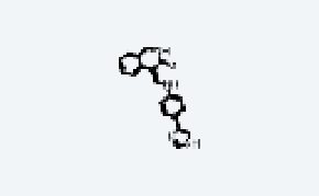 O=C1NCc2ccccc2C1=CNc1ccc(-c2c[nH]cn2)cc1